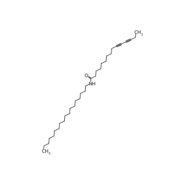 CCC#CC#CCCCCCCCCC(=O)NCCCCCCCCCCCCCCCCCC